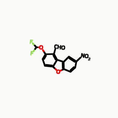 O=Cc1c(OC(F)F)ccc2oc3ccc([N+](=O)[O-])cc3c12